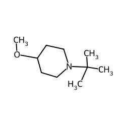 COC1CCN(C(C)(C)C)CC1